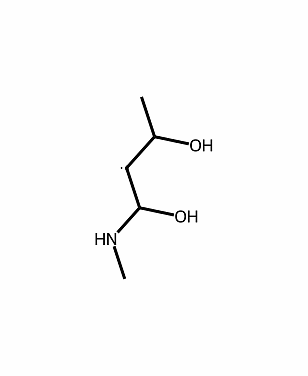 CNC(O)[CH]C(C)O